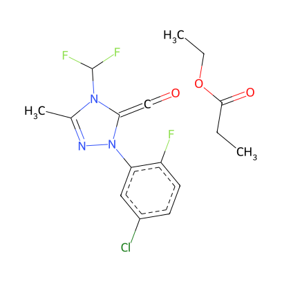 CC1=NN(c2cc(Cl)ccc2F)C(=C=O)N1C(F)F.CCOC(=O)CC